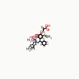 CCCCC1(CCCC)CC(c2ccccc2)c2cc(SC)c(O/C=C(\F)C(=O)O)cc2S(O)(O)N1C